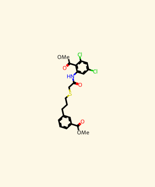 COC(=O)c1cccc(CCCSCC(=O)Nc2cc(Cl)cc(Cl)c2C(=O)OC)c1